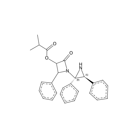 CC(C)C(=O)OC1C(=O)N([C@@]2(c3ccccc3)N[C@H]2c2ccccc2)C1c1ccccc1